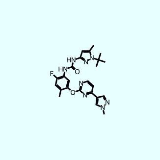 Cc1cc(F)c(NC(=O)Nc2cc(C)n(C(C)(C)C)n2)cc1Oc1nccc(-c2cnn(C)c2)n1